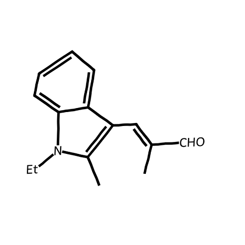 CCn1c(C)c(/C=C(\C)C=O)c2ccccc21